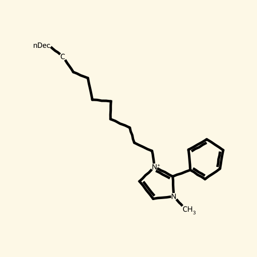 CCCCCCCCCCCCCCCCCCC[n+]1ccn(C)c1-c1ccccc1